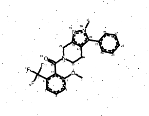 COc1cccc(C(F)(F)F)c1C(=O)N1CCc2c(nn(C)c2-c2ccccc2)C1